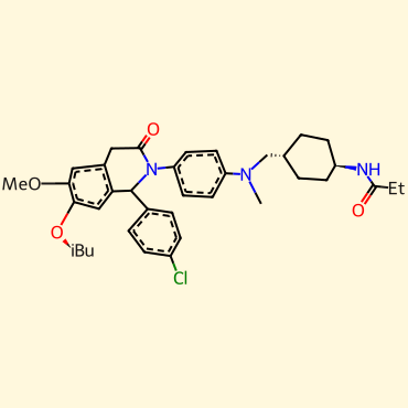 CCC(=O)N[C@H]1CC[C@H](CN(C)c2ccc(N3C(=O)Cc4cc(OC)c(O[C@H](C)CC)cc4C3c3ccc(Cl)cc3)cc2)CC1